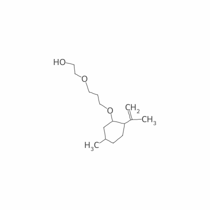 C=C(C)C1CCC(C)CC1OCCCOCCO